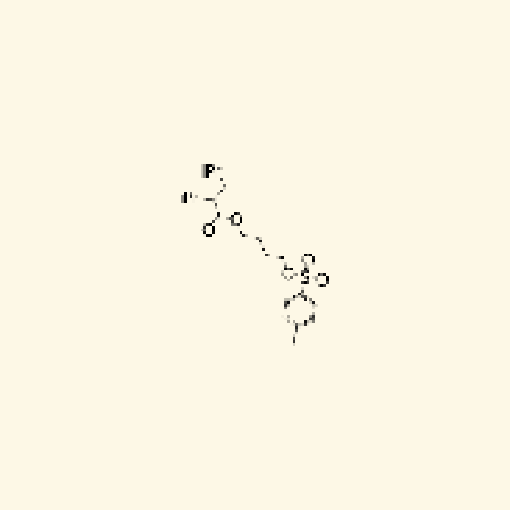 Cc1ccc(S(=O)(=O)OCCCCOC(=O)C(CC(C)C)C(C)C)cc1